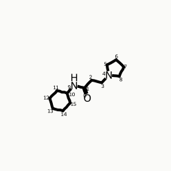 O=C(CCN1CCCC1)NC1CCCCC1